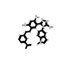 C=C(C)c1cccc(CCc2cc(-c3nnc(O)n3-c3ccc4c(ccn4C)c3)c(O)cc2O)c1